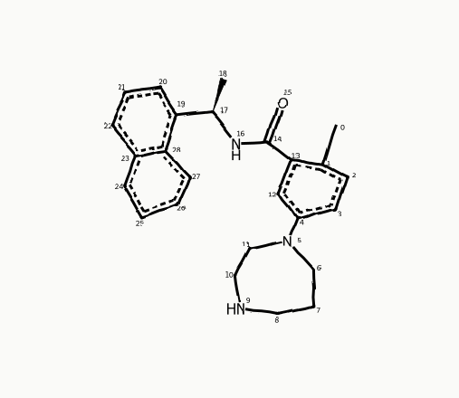 Cc1ccc(N2CCCNCC2)cc1C(=O)N[C@H](C)c1cccc2ccccc12